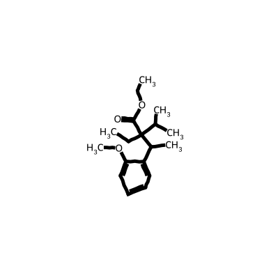 CCOC(=O)C(CC)(C(C)C)C(C)c1ccccc1OC